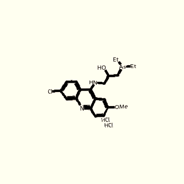 CC[As](CC)CC(O)CNc1c2ccc(Cl)cc2nc2ccc(OC)cc12.Cl.Cl